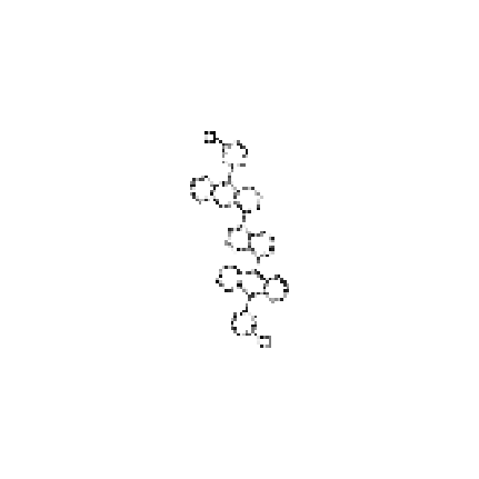 Clc1cccc(-c2c3ccccc3cc3c(-c4cccc5c(-c6c7ccccc7c(-c7cccc(Cl)c7)c7ccccc67)cccc45)cccc23)c1